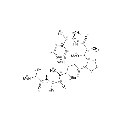 CCC(C)[C@@H](C(CC(=O)N1CCC[C@H]1[C@H](OC)[C@@H](C)C(=O)N[C@H](C)[C@@H](O)c1ccccc1)OC)N(C)C(=O)[C@@H](NC(=O)C(NC)C(C)C)C(C)C